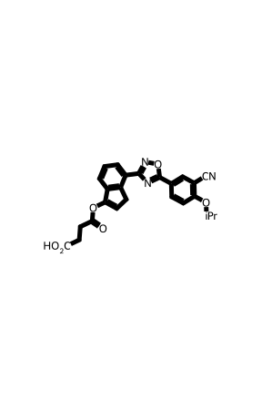 CC(C)Oc1ccc(-c2nc(-c3cccc4c3CC=C4OC(=O)CCC(=O)O)no2)cc1C#N